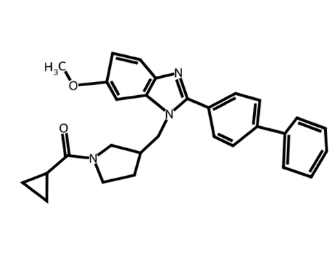 COc1ccc2nc(-c3ccc(-c4ccccc4)cc3)n(CC3CCN(C(=O)C4CC4)C3)c2c1